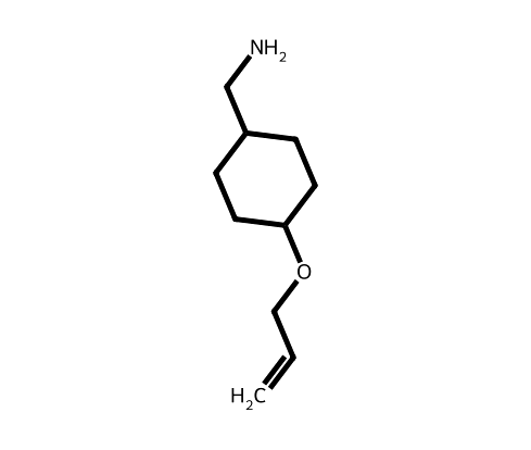 C=CCOC1CCC(CN)CC1